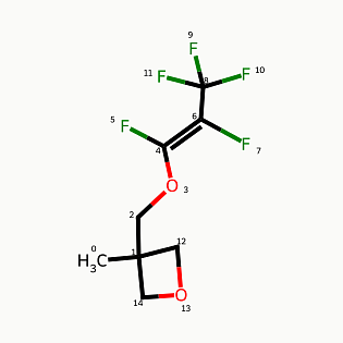 CC1(CO/C(F)=C(\F)C(F)(F)F)COC1